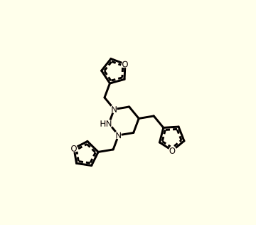 c1cc(CC2CN(Cc3ccoc3)NN(Cc3ccoc3)C2)co1